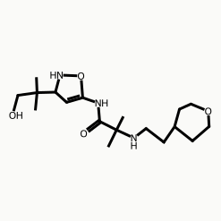 CC(C)(NCCC1CCOCC1)C(=O)NC1=CC(C(C)(C)CO)NO1